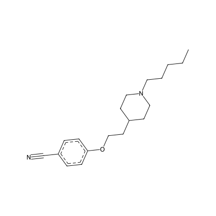 CCCCCN1CCC(CCOc2ccc(C#N)cc2)CC1